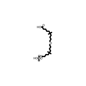 CC(C)(CCCCOCCCCC(C)(C)CCCCC(=O)O)CCCCOP(=O)(O)O